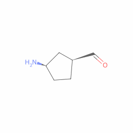 N[C@@H]1CC[C@H](C=O)C1